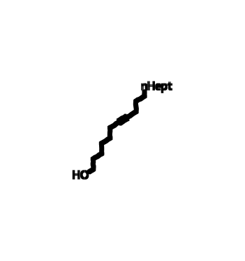 CCCCCCCCCCC#CCCCCCCO